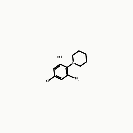 Cl.Nc1cc(Cl)ccc1N1CCCCC1